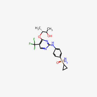 C[C@@H](O)[C@@H](C)Oc1nc(Nc2ccc([SH](N)(=O)C3CC3)cc2)ncc1C(F)(F)F